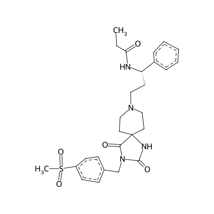 CCC(=O)N[C@@H](CCN1CCC2(CC1)NC(=O)N(Cc1ccc(S(C)(=O)=O)cc1)C2=O)c1ccccc1